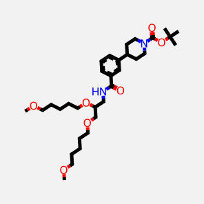 COCCCCCOCC(CNC(=O)c1cccc(C2CCN(C(=O)OC(C)(C)C)CC2)c1)OCCCCCOC